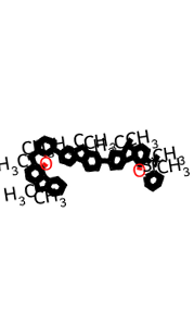 CC1(C)c2cc(-c3ccc4c(c3)C(C)(C)c3ccc5c(c3-4)Oc3ccccc3[Si]5(C)C)ccc2-c2ccc(-c3cccc4c3Oc3c(ccc5c3-c3ccccc3C5(C)C)C4(C)C)cc21